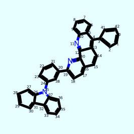 c1ccc(-c2c3ccccc3nc3c2ccc2ccc(-c4cccc(-n5c6ccccc6c6ccccc65)c4)nc23)cc1